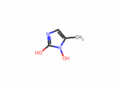 Cc1cnc(O)n1O